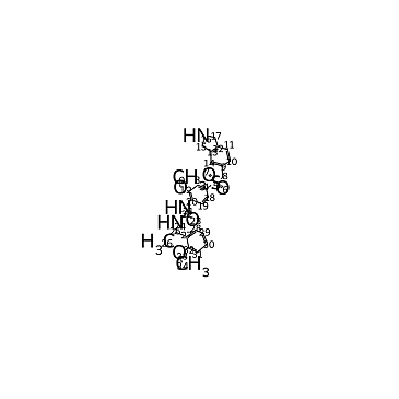 COc1cc(S(=O)(=O)Cc2ccc3c(c2)CNC3)ccc1NC(=O)NC(C)c1ccccc1OC